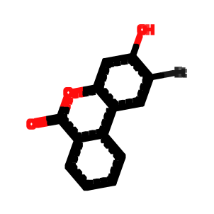 CCc1cc2c(cc1O)oc(=O)c1ccccc12